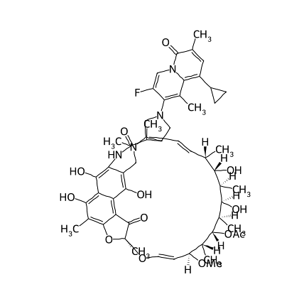 CO[C@H]1/C=C/O[C@@]2(C)Oc3c(C)c(O)c4c(O)c(c(CN(C)C5CCN(c6c(F)cn7c(=O)c(C)cc(C8CC8)c7c6C)C5)c(O)c4c3C2=O)NC(=O)/C(C)=C\C=C\[C@H](C)[C@H](O)[C@@H](C)[C@@H](O)[C@@H](C)[C@H](OC(C)=O)[C@@H]1C